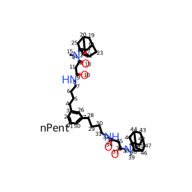 CCCCCc1cc(CCCCNC(=O)CC(=O)N(C)C23CC4CC(CC(C4)C2)C3)cc(CCCCNC(=O)CC(=O)N(C)C23CC4CC(CC(C4)C2)C3)c1